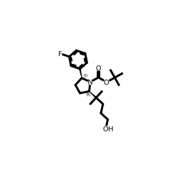 CC(C)(C)OC(=O)N1[C@H](c2cccc(F)c2)CC[C@@H]1C(C)(C)CCCO